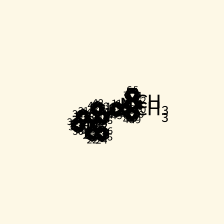 CC1(C)c2ccccc2-n2c3ccc(-c4ccc(N(c5cccc6ccccc56)c5cccc6ccccc56)c5ccccc45)cc3c3cccc1c32